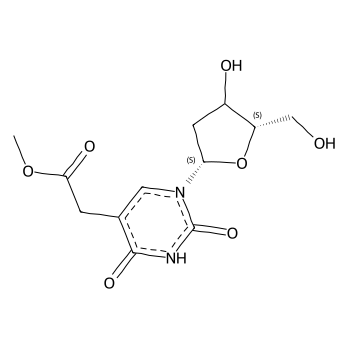 COC(=O)Cc1cn([C@@H]2CC(O)[C@H](CO)O2)c(=O)[nH]c1=O